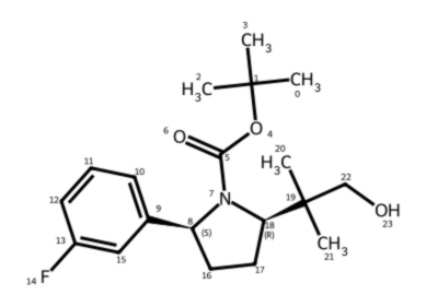 CC(C)(C)OC(=O)N1[C@H](c2cccc(F)c2)CC[C@@H]1C(C)(C)CO